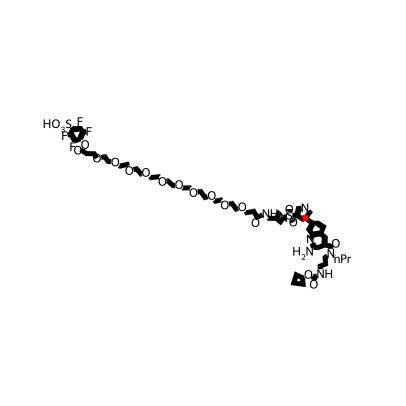 CCCN(CCCNC(=O)OC1CCC1)C(=O)C1=Cc2ccc(-c3cncc(S(=O)(=O)N4CC(CNC(=O)CCOCCOCCOCCOCCOCCOCCOCCOCCOCCOCCC(=O)Oc5c(F)c(F)c(S(=O)(=O)O)c(F)c5F)C4)c3)cc2N=C(N)C1